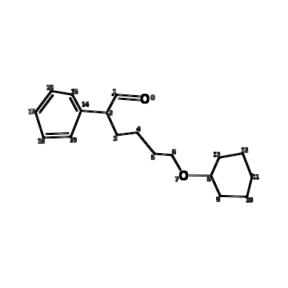 O=[C]C(CCCCOC1CC[CH]CC1)c1ccccc1